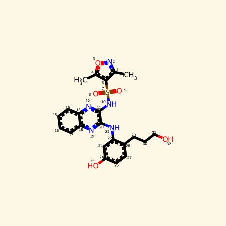 Cc1noc(C)c1S(=O)(=O)Nc1nc2ccccc2nc1Nc1cc(O)ccc1CCCO